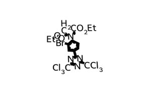 C=C(OOCC)N(CC(=O)OCC)c1ccc(-c2nc(C(Cl)(Cl)Cl)nc(C(Cl)(Cl)Cl)n2)cc1Br